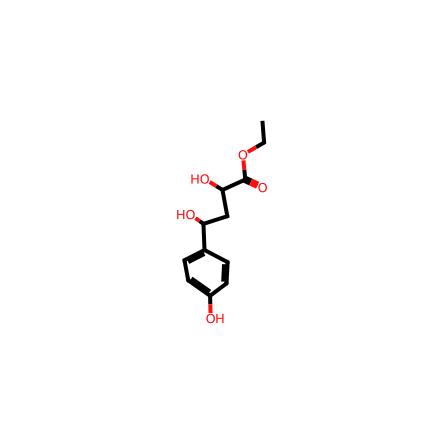 CCOC(=O)C(O)CC(O)c1ccc(O)cc1